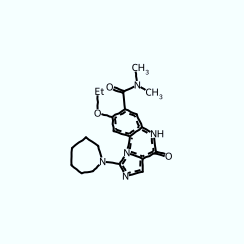 CCOc1cc2c(cc1C(=O)N(C)C)[nH]c(=O)c1cnc(N3CCCCCC3)n12